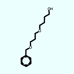 OCCCCOCCCOCc1ccccc1